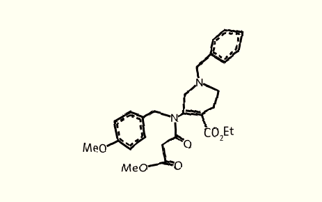 CCOC(=O)C1=C(N(Cc2ccc(OC)cc2)C(=O)CC(=O)OC)CN(Cc2ccccc2)CC1